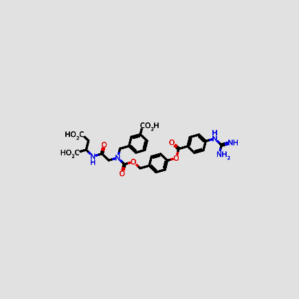 N=C(N)Nc1ccc(C(=O)Oc2ccc(COC(=O)N(CC(=O)NC(CC(=O)O)C(=O)O)Cc3cccc(C(=O)O)c3)cc2)cc1